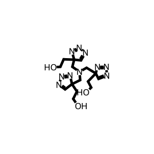 OCCC1(CN(CC2(CCO)C=NN=N2)CC2(CCO)C=NN=N2)C=NN=N1